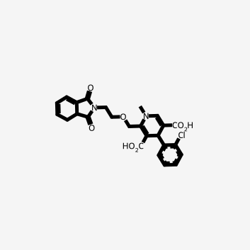 CN1C=C(C(=O)O)C(c2ccccc2Cl)C(C(=O)O)=C1COCCN1C(=O)C2=CC=CCC2C1=O